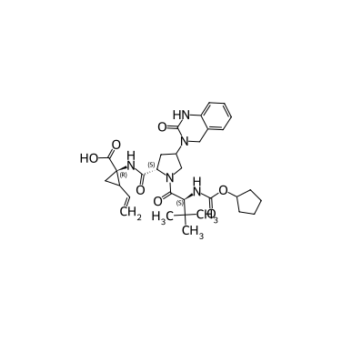 C=CC1C[C@]1(NC(=O)[C@@H]1CC(N2Cc3ccccc3NC2=O)CN1C(=O)[C@@H](NC(=O)OC1CCCC1)C(C)(C)C)C(=O)O